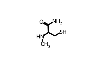 CNC(CS)C(N)=O